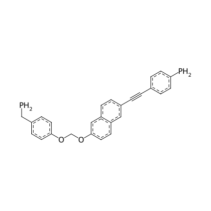 PCc1ccc(OCOc2ccc3cc(C#Cc4ccc(P)cc4)ccc3c2)cc1